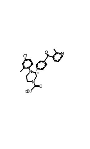 Cc1cc(Cl)ccc1N1CCN(C(=O)C(C)(C)C)C[C@H]1c1ccc(C(=O)c2cccnc2C)cc1